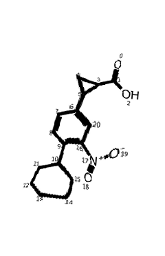 O=C(O)C1CC1c1ccc(C2CCCCC2)c([N+](=O)[O-])c1